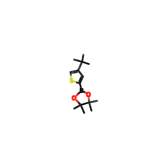 CC(C)(C)c1csc(B2OC(C)(C)C(C)(C)O2)c1